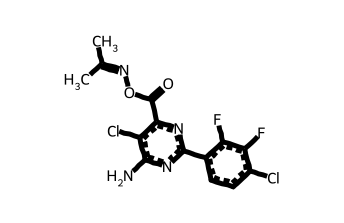 CC(C)=NOC(=O)c1nc(-c2ccc(Cl)c(F)c2F)nc(N)c1Cl